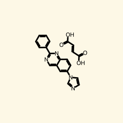 O=C(O)/C=C/C(=O)O.c1ccc(-c2ncc3cc(-n4ccnc4)ccc3n2)cc1